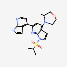 CC1COCCN1c1cc(-c2ccnc3[nH]ccc23)nc2c1ccn2S(=O)(=O)C(C)C